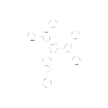 c1ccc(-c2cc(-c3nc(-c4cc(-c5ccccc5)nc(-c5ccccc5)c4)nc(-c4ccc5oc(-c6ccccc6)nc5c4)n3)cc(-c3ccccc3)n2)cc1